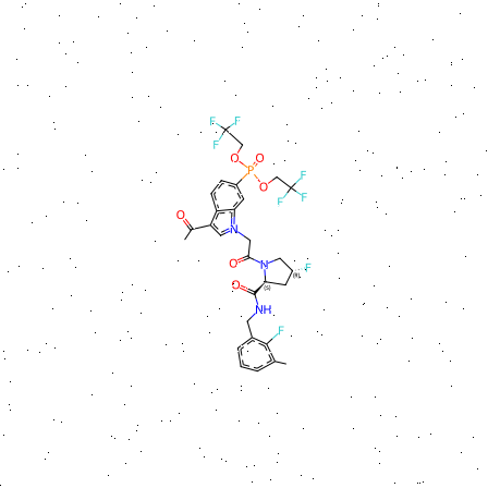 CC(=O)c1cn(CC(=O)N2C[C@H](F)C[C@H]2C(=O)NCc2cccc(C)c2F)c2cc(P(=O)(OCC(F)(F)F)OCC(F)(F)F)ccc12